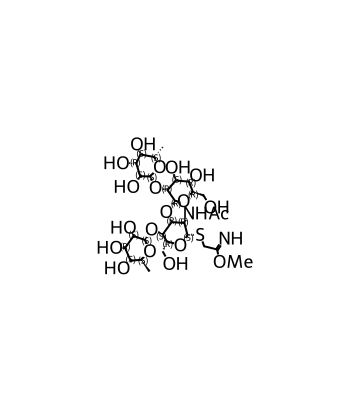 COC(=N)CS[C@@H]1O[C@H](CO)[C@@H](O[C@@H]2O[C@@H](C)[C@@H](O)[C@@H](O)[C@@H]2O)[C@H](O[C@@H]2O[C@H](CO)[C@H](O)[C@H](O)[C@H]2O[C@@H]2O[C@@H](C)[C@@H](O)[C@@H](O)[C@@H]2O)[C@H]1NC(C)=O